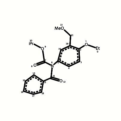 CCOc1ccc(N(C(=O)OC(C)C)C(=O)c2ccccc2)cc1COC